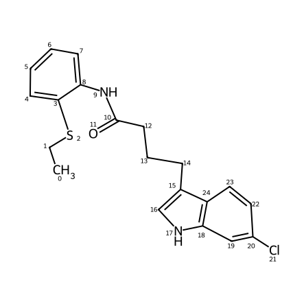 CCSc1ccccc1NC(=O)CCCc1c[nH]c2cc(Cl)ccc12